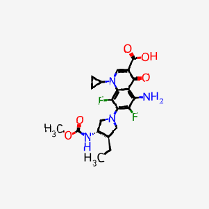 CC[C@@H]1CN(c2c(F)c(N)c3c(=O)c(C(=O)O)cn(C4CC4)c3c2F)C[C@H]1NC(=O)OC